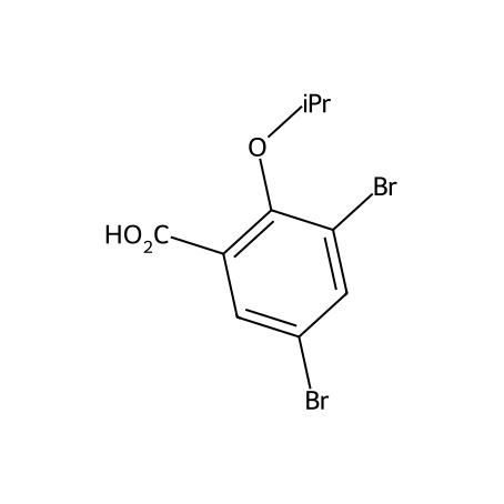 CC(C)Oc1c(Br)cc(Br)cc1C(=O)O